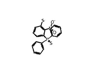 O=[N+]([O-])c1c([S])cccc1P(=S)(c1ccccc1)c1ccccc1